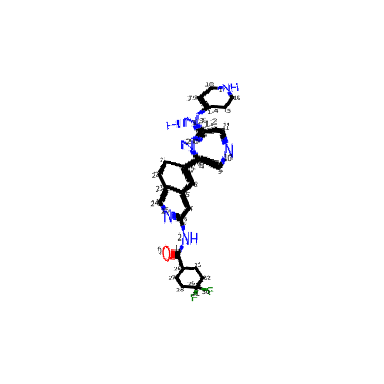 O=C(Nc1cc2cc(-c3cncc(NC4CCNCC4)n3)ccc2cn1)C1CCC(F)(F)CC1